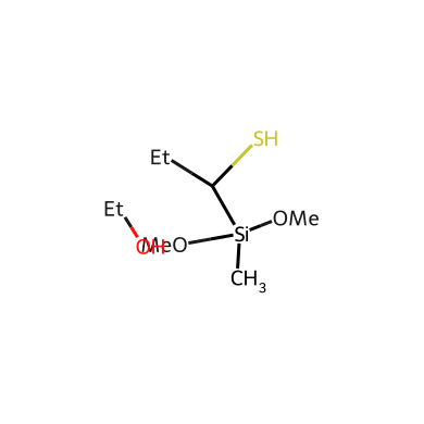 CCC(S)[Si](C)(OC)OC.CCO